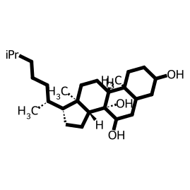 CC(C)CCC[C@@H](C)[C@H]1CC[C@@H]2[C@]1(C)CC[C@H]1[C@@]2(O)C(O)CC2CC(O)CC[C@@]21C